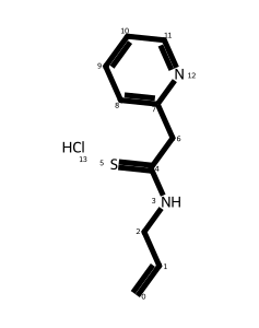 C=CCNC(=S)Cc1ccccn1.Cl